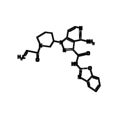 C=CC(=O)N1CCCC(n2nc(C(=O)Nc3nc4ccccc4o3)c3c(N)nccc32)C1